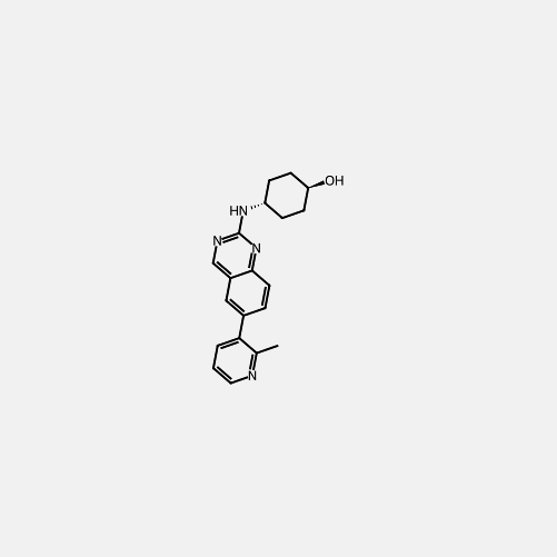 Cc1ncccc1-c1ccc2nc(N[C@H]3CC[C@H](O)CC3)ncc2c1